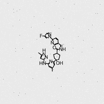 Cc1cc(Nc2cc(C)[nH]n2)nc(C2(O)CCC(C(=O)N[C@@H](C)c3ccc(-n4cc(F)cn4)nc3)CC2)c1